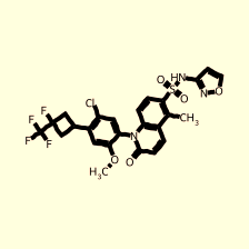 COc1cc(C2CC(F)(C(F)(F)F)C2)c(Cl)cc1-n1c(=O)ccc2c(C)c(S(=O)(=O)Nc3ccon3)ccc21